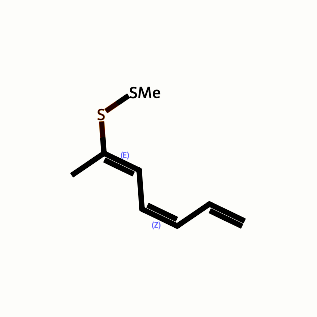 C=C/C=C\C=C(/C)SSC